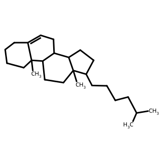 CC(C)CCCCC1CCC2C3CC=C4CCCCC4(C)C3CCC12C